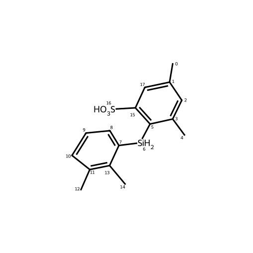 Cc1cc(C)c([SiH2]c2cccc(C)c2C)c(S(=O)(=O)O)c1